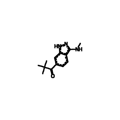 CNc1n[nH]c2cc(C(=O)C(C)(C)C)ccc12